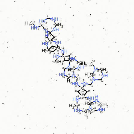 [SiH3]N[SiH]1NCN[SiH2]N[Si]2(C[Si]3(C2)N[SiH]2C[Si](N[Si]4(N[SiH3])C[Si]5(C4)N[SiH2]N[SiH]4N([SiH2]N[Si]6(NCN7CN[SiH2]N([SiH3])[SiH2]7)C[Si]7(C6)N[SiH2]N[SiH2]N6[SiH2]N[SiH2]N[SiH]6N7)[SiH2]NCN45)(C2)N3)N1